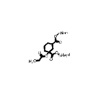 C=CC(=O)OC1(C(=O)OCCCCCCC)CCCC(C(=O)OCCCCCCCCC)C1